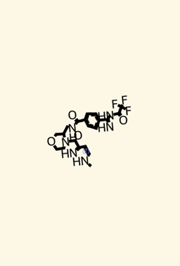 CN/C=C\C(=N)C(=O)N1CCOCC1CNC(=O)c1ccc(C(=N)NC(=O)C(F)(F)F)cc1